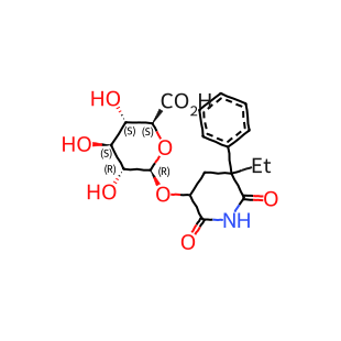 CCC1(c2ccccc2)CC(O[C@@H]2O[C@H](C(=O)O)[C@@H](O)[C@H](O)[C@H]2O)C(=O)NC1=O